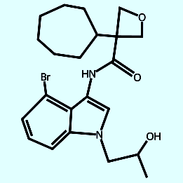 CC(O)Cn1cc(NC(=O)C2(C3CCCCCC3)COC2)c2c(Br)cccc21